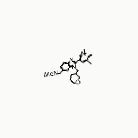 C=C/C(C)=C\C(=C/N(C)C)c1nc2ccc(CNC)cc2n1CC1CCCOC1